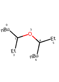 CCCCC(CC)OC(CC)CCCC